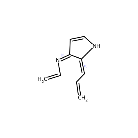 C=C/C=C1/NC=C/C1=N/C=C